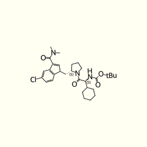 CN(C)C(=O)C1=CC(C[C@@H]2CCCN2C(=O)[C@@H](NC(=O)OC(C)(C)C)C2CCCCC2)c2ccc(Cl)cc21